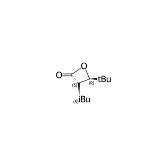 CC[C@H](C)[C@@H]1C(=O)O[C@H]1C(C)(C)C